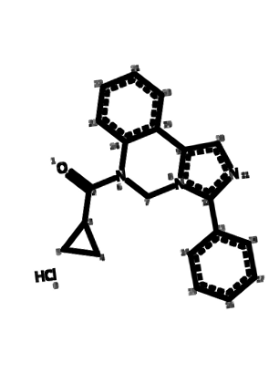 Cl.O=C(C1CC1)N1Cn2c(cnc2-c2ccccc2)-c2ccccc21